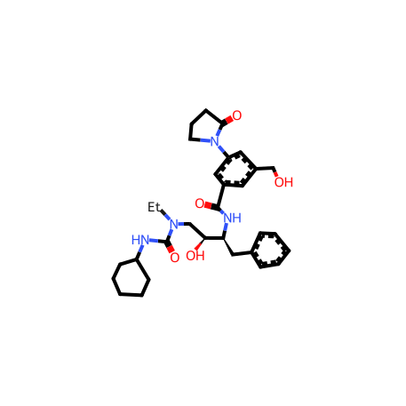 CCN(C[C@H](O)[C@H](Cc1ccccc1)NC(=O)c1cc(CO)cc(N2CCCC2=O)c1)C(=O)NC1CCCCC1